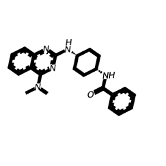 CN(C)c1nc(N[C@H]2CC[C@@H](NC(=O)c3ccccc3)CC2)nc2ccccc12